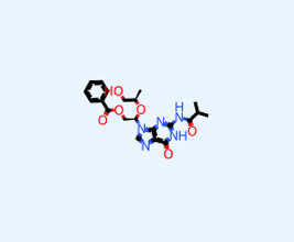 CC(C)C(=O)Nc1nc2c(ncn2[C@@H](COC(=O)c2ccccc2)O[C@H](C)CO)c(=O)[nH]1